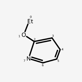 CCOc1c[c]c[c]n1